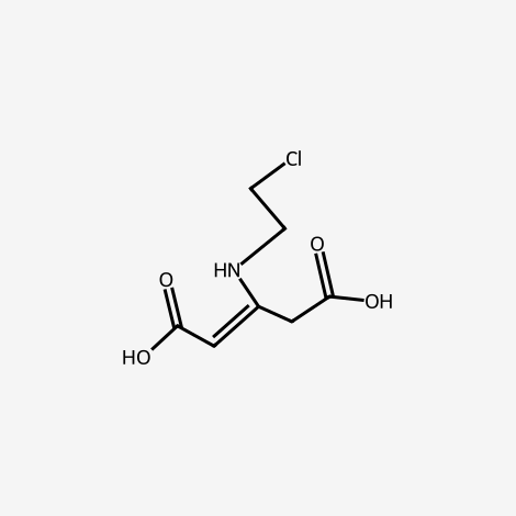 O=C(O)C=C(CC(=O)O)NCCCl